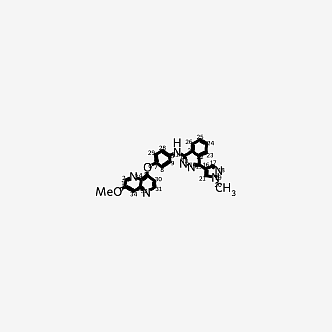 COc1cnc2c(Oc3ccc(Nc4nnc(-c5cnn(C)c5)c5ccccc45)cc3)ccnc2c1